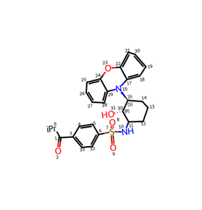 CC(C)C(=O)c1ccc(S(=O)(=O)NC2CCC[C@H](N3c4ccccc4Oc4ccccc43)[C@H]2O)cc1